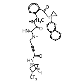 C[C@H](C(=O)c1ccccc1CNC(=O)C(=N)NCC#CC(=O)N[C@@]12CC(C(F)(F)F)[C@@H]1C2)C1(c2ccc3ccccc3c2)CC1